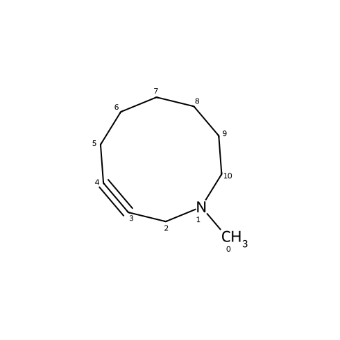 CN1CC#CCCCCCC1